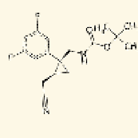 CC(C)(C)OC(=O)NC[C@@]1(c2cc(F)cc(F)c2)C[C@H]1CC#N